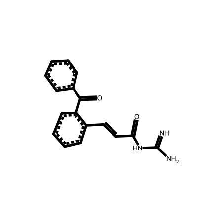 N=C(N)NC(=O)/C=C/c1ccccc1C(=O)c1ccccc1